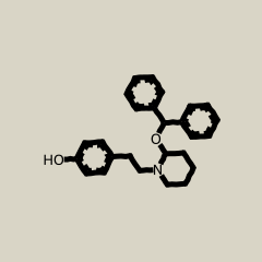 Oc1ccc(CCN2CCCCC2OC(c2ccccc2)c2ccccc2)cc1